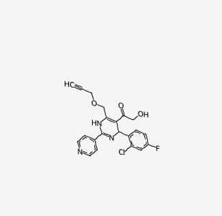 C#CCOCC1=C(C(=O)CO)C(c2ccc(F)cc2Cl)N=C(c2ccncc2)N1